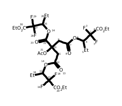 CCOC(=O)C(F)(F)C(CC)OC(=O)CC(CC(=O)OC(CC)C(F)(F)C(=O)OCC)(OC(C)=O)C(=O)OC(CC)C(F)(F)C(=O)OCC